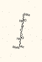 CNC(CCCCNC(=O)COCCOCCOCCNC(=O)CCSSC)C(C)=O